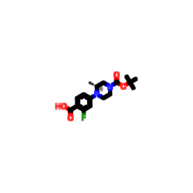 C[C@@H]1CN(C(=O)OC(C)(C)C)CCN1c1ccc(C(=O)O)c(F)c1